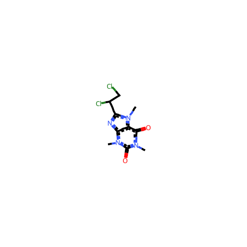 Cn1c(=O)c2c(nc(C(Cl)CCl)n2C)n(C)c1=O